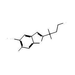 CNc1cc2cc(C(C)(C)CCO)[nH]c2cc1F